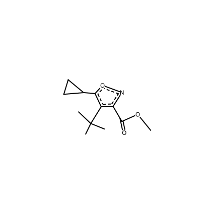 COC(=O)c1noc(C2CC2)c1C(C)(C)C